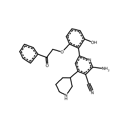 N#Cc1c(C2CCCNC2)cc(-c2c(O)cccc2OCC(=O)c2ccccc2)nc1N